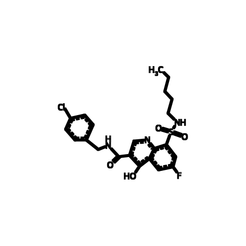 CCCCCNS(=O)(=O)c1cc(F)cc2c(O)c(C(=O)NCc3ccc(Cl)cc3)cnc12